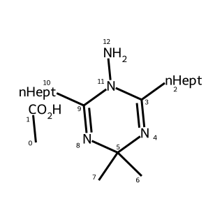 CC(=O)O.CCCCCCCC1=NC(C)(C)N=C(CCCCCCC)N1N